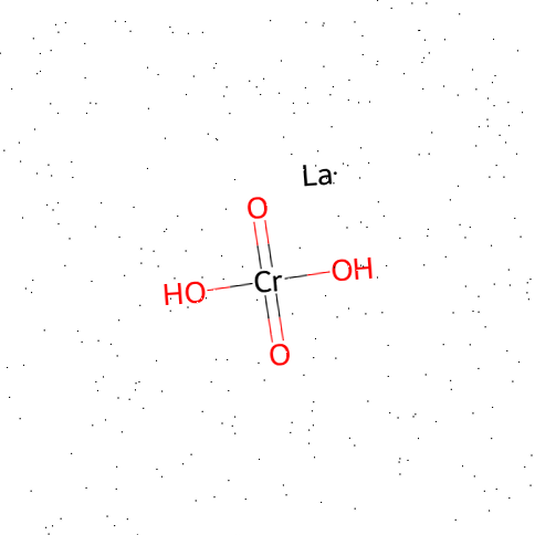 [La].[O]=[Cr](=[O])([OH])[OH]